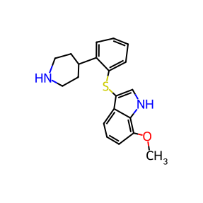 COc1cccc2c(Sc3ccccc3C3CCNCC3)c[nH]c12